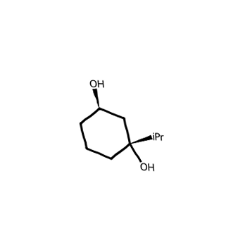 CC(C)[C@@]1(O)CCC[C@@H](O)C1